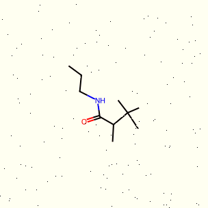 CCCNC(=O)C(C)C(C)(C)C